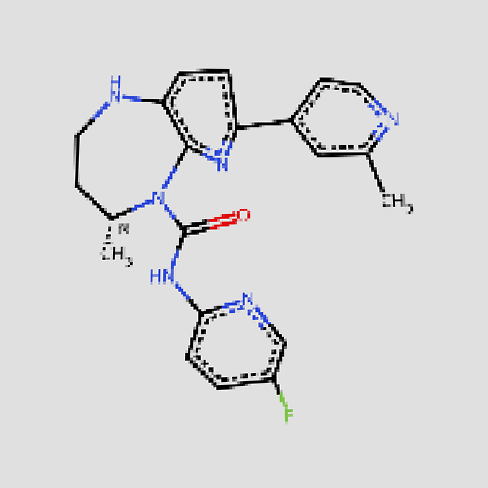 Cc1cc(-c2ccc3c(n2)N(C(=O)Nc2ccc(F)cn2)[C@H](C)CCN3)ccn1